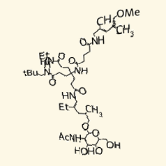 CCNC(=O)CCC(CCC(=O)NCC(CC)CC(C)COC1OC(CO)C(O)C(O)C1NC(C)=O)(CCC(=O)NCC(C)(C)C)NC(=O)CCCC(=O)NCC(C)CC(C)COC